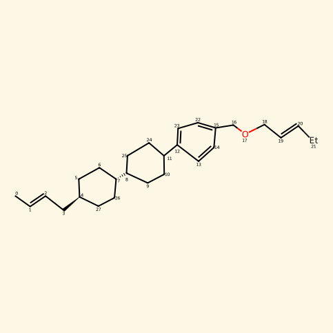 C/C=C/C[C@H]1CC[C@H](C2CCC(c3ccc(COC/C=C/CC)cc3)CC2)CC1